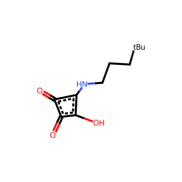 CC(C)(C)CCCNc1c(O)c(=O)c1=O